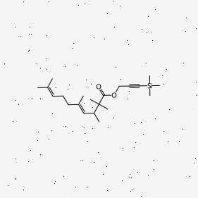 CC(C)=CCC/C(C)=C/C(C)C(C)(C)C(=O)OCC#C[Si](C)(C)C